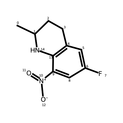 CC1CCc2cc(F)cc([N+](=O)[O-])c2N1